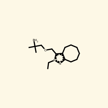 BC(C)(C)COCc1c2c(nn1CC)CCCCCC2